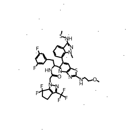 COCCNc1nc2nc(C(Cc3cc(F)cc(F)c3)NC(=O)Cn3nc(C(F)(F)F)c4c3C(F)(F)CC4)c(-c3cccc4c(NSC)nn(C)c34)cc2s1